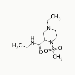 CCNC(=O)C1CN(CC)CCN1S(C)(=O)=O